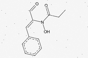 CCC(=O)N(O)C([C]=O)=Cc1ccccc1